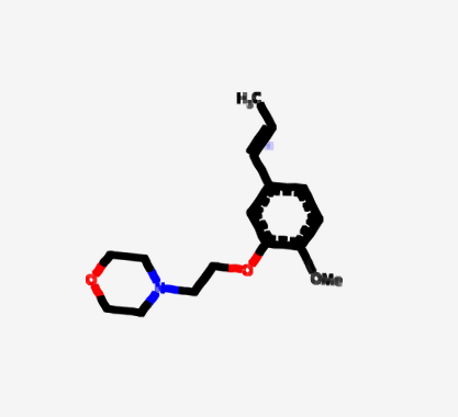 C/C=C/c1ccc(OC)c(OCCN2CCOCC2)c1